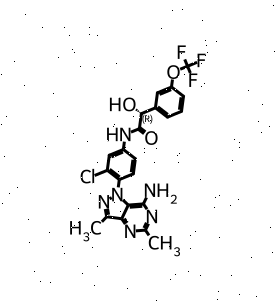 Cc1nc(N)c2c(n1)c(C)nn2-c1ccc(NC(=O)[C@H](O)c2cccc(OC(F)(F)F)c2)cc1Cl